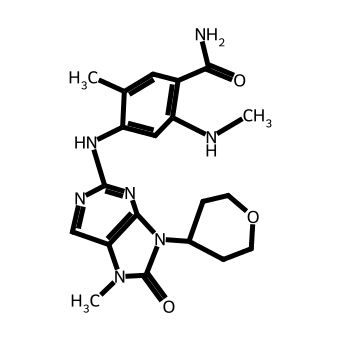 CNc1cc(Nc2ncc3c(n2)n(C2CCOCC2)c(=O)n3C)c(C)cc1C(N)=O